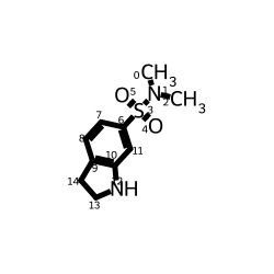 CN(C)S(=O)(=O)c1ccc2c(c1)NCC2